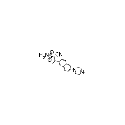 C/C(=C(/C#N)S(N)(=O)=O)c1ccc2cc(N3CCN(C)CC3)ccc2c1